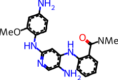 CNC(=O)c1ccccc1Nc1cc(Nc2ccc(N)cc2OC)ncc1N